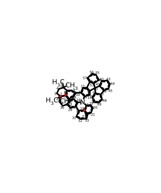 CC1(C)CCC(C)(C)c2cc(-c3cc4c(cc3N(c3ccccc3)c3cc5c(cc3-c3ccccc3)CCCC5)C3(c5ccccc5-c5ccccc53)c3ccccc3-4)ccc21